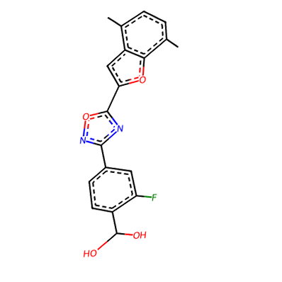 Cc1ccc(C)c2oc(-c3nc(-c4ccc(C(O)O)c(F)c4)no3)cc12